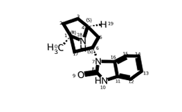 C[C@@]12CC[C@@H](C[C@H](n3c(=O)[nH]c4ccccc43)C1)N2